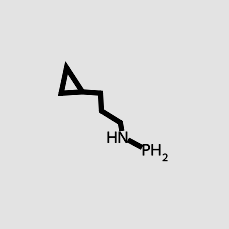 PNCCCC1CC1